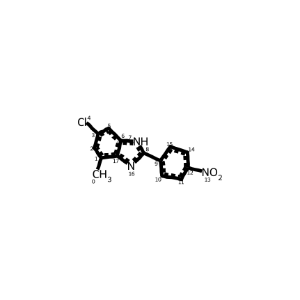 Cc1cc(Cl)cc2[nH]c(-c3ccc([N+](=O)[O-])cc3)nc12